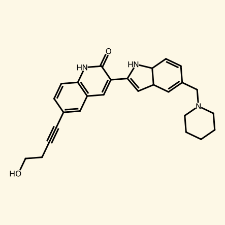 O=c1[nH]c2ccc(C#CCCO)cc2cc1C1=CC2C=C(CN3CCCCC3)C=CC2N1